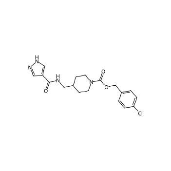 O=C(NCC1CCN(C(=O)OCc2ccc(Cl)cc2)CC1)c1cn[nH]c1